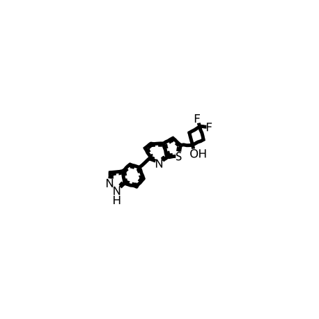 OC1(c2cc3ccc(-c4ccc5[nH]ncc5c4)nc3s2)CC(F)(F)C1